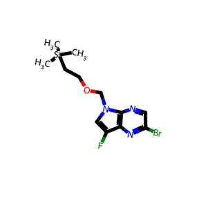 C[Si](C)(C)CCOCn1cc(F)c2nc(Br)cnc21